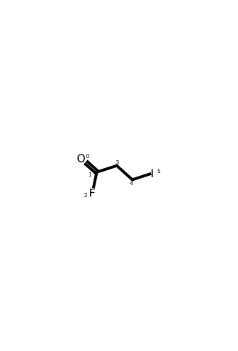 O=C(F)CCI